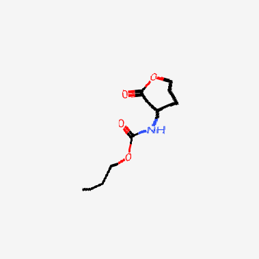 CCCOC(=O)NC1CCOC1=O